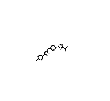 Cc1ccc(-c2cn(Cc3ccc(-c4nnc(C(F)F)o4)cn3)nn2)cn1